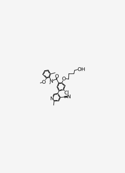 COc1cccc(C)c1N(C)C(=O)c1cc(-c2cnc(C)cc2C#N)c(Cl)cc1OCCCCO